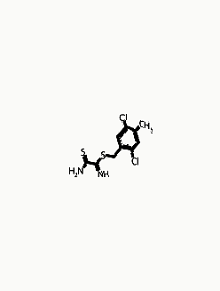 Cc1cc(Cl)c(CSC(=N)C(N)=S)cc1Cl